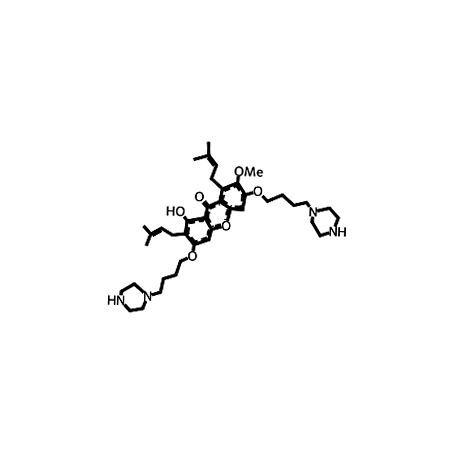 COc1c(OCCCCN2CCNCC2)cc2oc3cc(OCCCCN4CCNCC4)c(CC=C(C)C)c(O)c3c(=O)c2c1CC=C(C)C